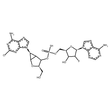 Nc1nc(Cl)nc2c1ncn2[C@@H]1C2O[C@H](CO)C(OP(=O)(S)OC[C@H]3O[C@@H](n4cnc5c(N)ncnc54)C(F)C3O)C21